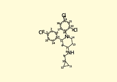 Clc1ccc(C2CC(NCC3CC3)CCN2c2ccc(Cl)cc2Cl)cc1